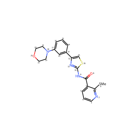 CSc1ncccc1C(=O)Nc1nc(-c2cccc(N3CCOCC3)c2)cs1